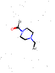 CCC(=O)N1CCN(CC(C)=O)CC1